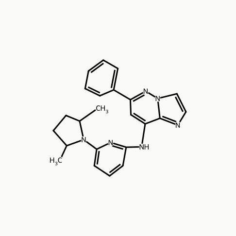 CC1CCC(C)N1c1cccc(Nc2cc(-c3ccccc3)nn3ccnc23)n1